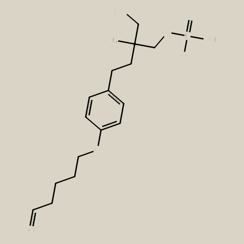 C=CCCCCOc1ccc(CCC(N)(CO)COP(=O)(O)O)cc1